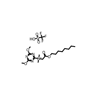 CCCCCCCCOC(=O)C[N+](C)(C)c1nc(OC)nc(OC)n1.O=S(=O)(O)C(F)(F)F